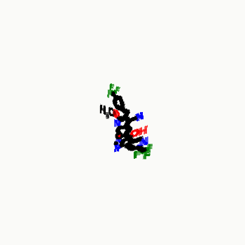 COc1nc2ccc(C(O)(c3ccc(C(F)(F)F)nc3)c3cncn3C)cc2c(C#N)c1Cc1ccc(C(F)(F)F)cc1